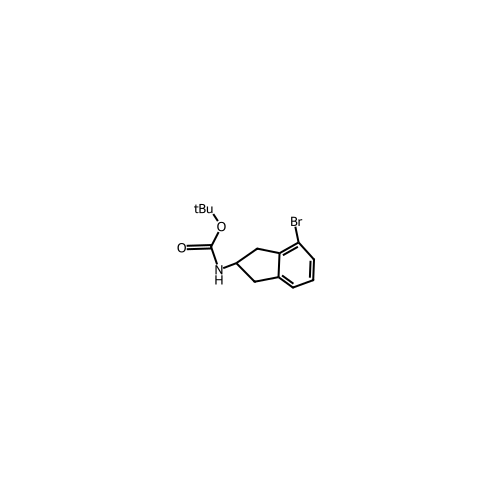 CC(C)(C)OC(=O)NC1Cc2cccc(Br)c2C1